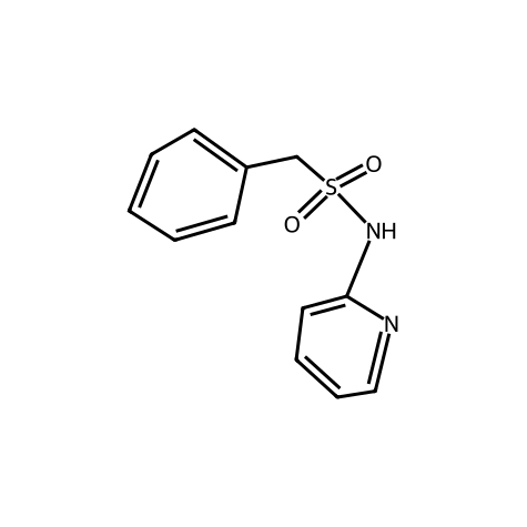 O=S(=O)(Cc1ccccc1)Nc1ccccn1